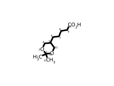 CC1(C)OCC(CCCCC(=O)O)CO1